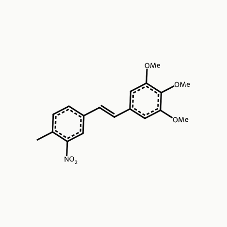 COc1cc(C=Cc2ccc(C)c([N+](=O)[O-])c2)cc(OC)c1OC